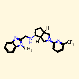 Cn1c(CN[C@H]2CC[C@@H]3CN(c4cccc(C(F)(F)F)n4)C[C@@H]32)nc2ccccc21